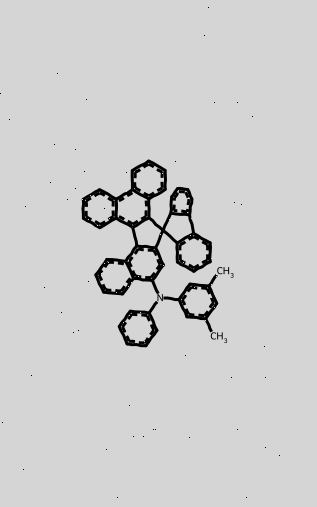 Cc1cc(C)cc(N(c2ccccc2)c2cc3c(c4ccccc24)-c2c(c4ccccc4c4ccccc24)C32c3ccccc3-c3ccccc32)c1